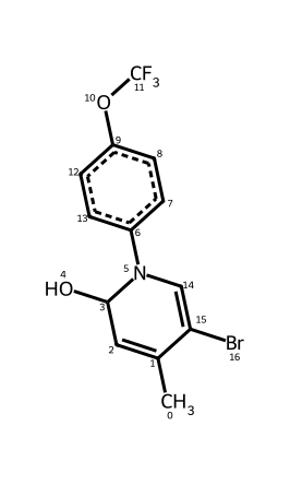 CC1=CC(O)N(c2ccc(OC(F)(F)F)cc2)C=C1Br